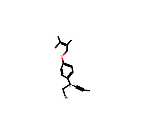 CC#C[C@@H](CC(C)C)c1ccc(OCC(C)=C(C)C)cc1